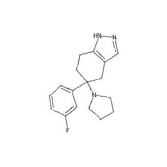 Fc1cccc(C2(N3CCCC3)CCc3[nH]ncc3C2)c1